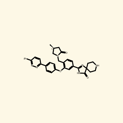 CC(C)c1ccc(-c2ccc(Oc3cc(C4=NC5(CCNCC5)C(=O)N4)ccc3CN3C[C@@H](C)CC3=O)cc2)nn1